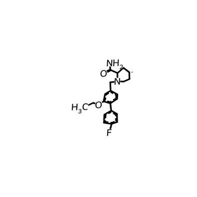 CCOc1cc(CN2CC[CH]CC2C(N)=O)ccc1-c1ccc(F)cc1